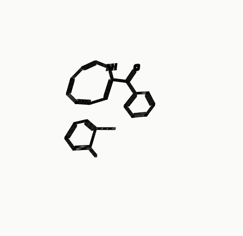 Cc1ccccc1C.O=C(c1ccccc1)c1ccccccc[nH]1